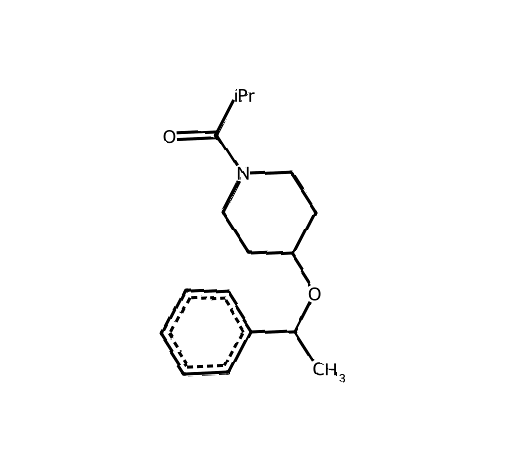 CC(C)C(=O)N1CCC(OC(C)c2ccccc2)CC1